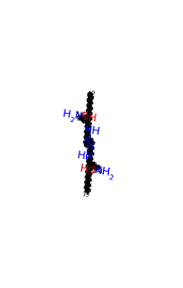 CCCCCCCCCCCC(CCNCCCN1CCN(CCCNCCC(CCCCCCCCCCC)CC(O)CN)CC1)CC(O)CN